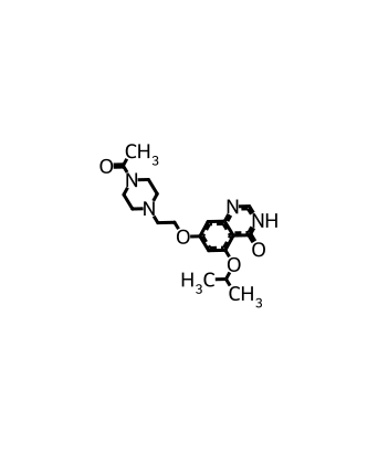 CC(=O)N1CCN(CCOc2cc(OC(C)C)c3c(=O)[nH]cnc3c2)CC1